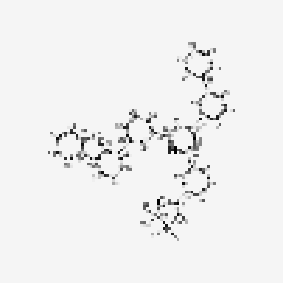 CC1(C)OB(c2cccc(-c3nc(-c4cccc(-c5ccccc5)c4)cc(-c4cccc(-c5cccc6c5oc5ccccc56)c4)n3)c2)OC1(C)C